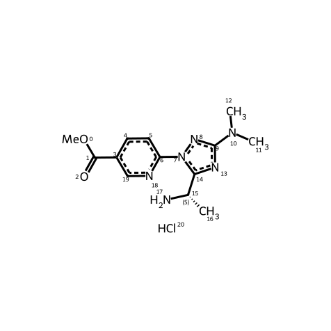 COC(=O)c1ccc(-n2nc(N(C)C)nc2[C@H](C)N)nc1.Cl